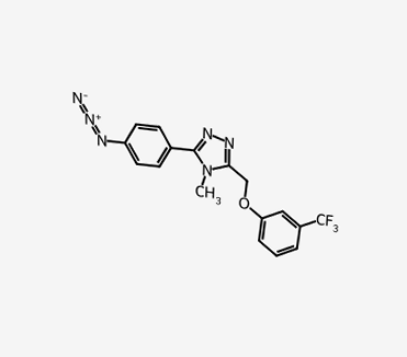 Cn1c(COc2cccc(C(F)(F)F)c2)nnc1-c1ccc(N=[N+]=[N-])cc1